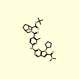 Cc1nc(Nc2ncc3cc(C(=O)N(C)C)n(C4CCCC4)c3n2)ccc1C(=O)N1CC2CCC(N2)C1C(=O)OC(C)(C)C